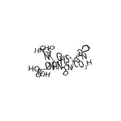 O=CNc1nc(C(=NOCCP(=O)(O)O)C(=O)NC2C(=O)N3CC(CSc4nc5ccccc5s4)(C(=O)O)CS[C@H]23)cs1